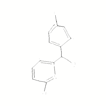 Cc1cccc(C(c2ccc(F)cc2)C(C)C)n1